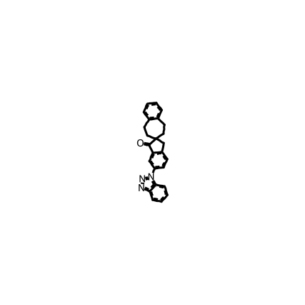 O=C1c2cc(-n3nnc4ccccc43)ccc2CC12CCc1ccccc1CC2